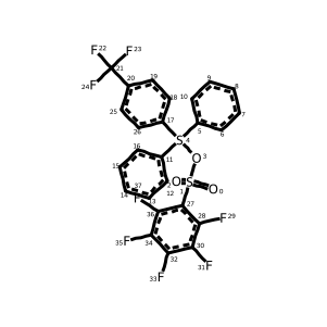 O=S(=O)(OS(c1ccccc1)(c1ccccc1)c1ccc(C(F)(F)F)cc1)c1c(F)c(F)c(F)c(F)c1F